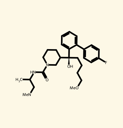 CNCC(C)NC(=O)N1CCCC([C@@](O)(CCCCOC)c2ccccc2-c2ccc(F)cc2)C1